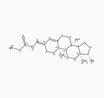 CC(=O)[C@H]1CCC2[C@@H]3CCC4=C/C(=N/OC(=O)CC(C)C)CC[C@]4(C)C3CC[C@@]21C